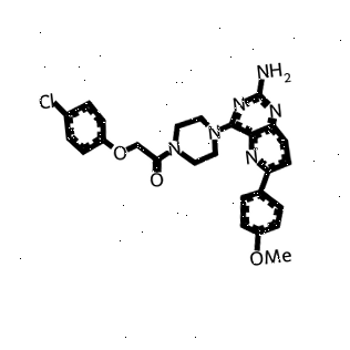 COc1ccc(-c2ccc3nc(N)nc(N4CCN(C(=O)COc5ccc(Cl)cc5)CC4)c3n2)cc1